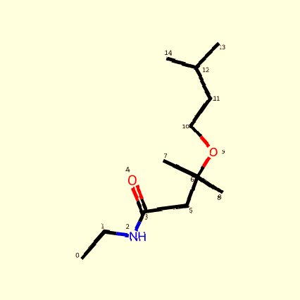 CCNC(=O)CC(C)(C)OCCC(C)C